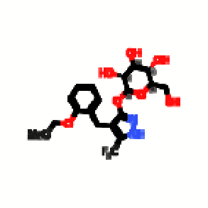 COCOc1ccccc1Cc1c(O[C@@H]2O[C@H](CO)[C@@H](O)[C@H](O)[C@H]2O)n[nH]c1C(F)(F)F